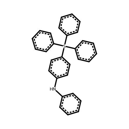 c1ccc(Nc2ccc(S(c3ccccc3)(c3ccccc3)c3ccccc3)cc2)cc1